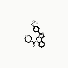 COc1ccc(-c2ncc3n2CN(C(=O)N2CCCNCC2)c2ccccc2-3)cc1